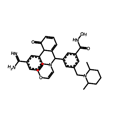 CC1CCCC(C)N1Cc1cc(C(=O)NO)cc(C(C2=CC=CC(=O)C2c2cccc(C(=N)N)c2)N2C=COC=C2)c1